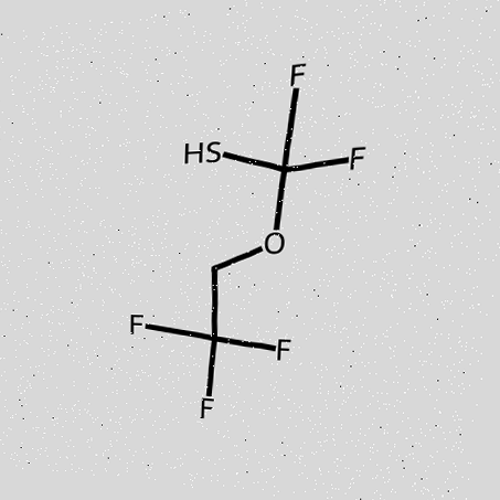 FC(F)(F)COC(F)(F)S